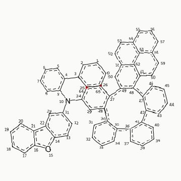 c1ccc(-c2ccccc2N(c2ccc3oc4ccccc4c3c2)c2ccc3c(c2)c2ccccc2c2ccccc2c2ccccc2c2c3cc3ccc4cccc5ccc2c3c45)cc1